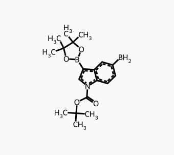 Bc1ccc2c(c1)c(B1OC(C)(C)C(C)(C)O1)cn2C(=O)OC(C)(C)C